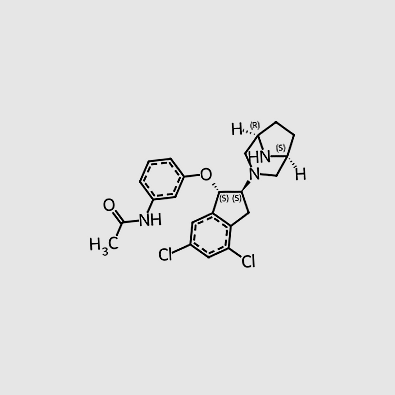 CC(=O)Nc1cccc(O[C@H]2c3cc(Cl)cc(Cl)c3C[C@@H]2N2C[C@H]3CC[C@@H](C2)N3)c1